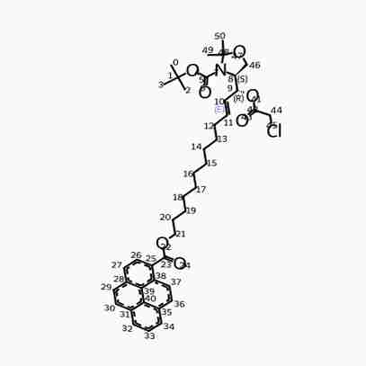 CC(C)(C)OC(=O)N1[C@H]([C@@H](/C=C/CCCCCCCCCCOC(=O)c2ccc3ccc4cccc5ccc2c3c45)OC(=O)CCl)COC1(C)C